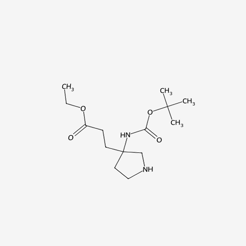 CCOC(=O)CCC1(NC(=O)OC(C)(C)C)CCNC1